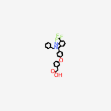 O=C(O)Cc1cccc(Oc2ccc(-c3c4cccc(C(F)(F)F)c4nn3Cc3ccccc3)cc2)c1